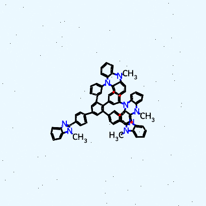 CN1c2ccccc2N(c2cccc(-c3cc(-c4ccc(-c5nc6ccccc6n5C)cc4)cc(-c4ccc(-c5nc6ccccc6n5C)cc4)c3-c3cccc(N4c5ccccc5N(C)c5ccccc54)c3)c2)c2ccccc21